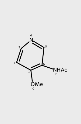 COc1ccn[c]c1NC(C)=O